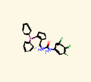 C[C@@H](NC(=O)Nc1cc(F)c(F)c(F)c1)C1=C(P(c2ccccc2)c2ccccc2)C=CC1